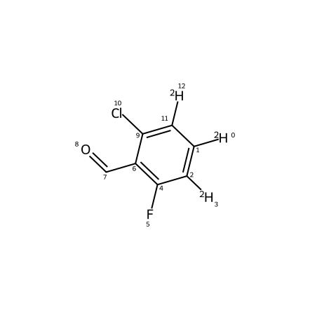 [2H]c1c([2H])c(F)c(C=O)c(Cl)c1[2H]